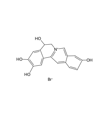 Oc1ccc2cc3[n+](cc2c1)CC(O)c1cc(O)c(O)cc1-3.[Br-]